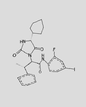 C[C@@H](c1ccccc1)C(C(=O)Nc1ccc(I)cc1F)N1C(=O)N[C@H](C2CCCCC2)C1=O